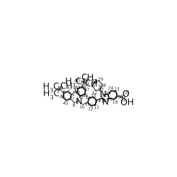 CC(C)(C)c1ccc(CN(Cc2ccc(-c3nc4cc(C(=O)O)ccc4n3C3CCCCC3)cc2)c2ccc(C(C)(C)C)cc2)cc1